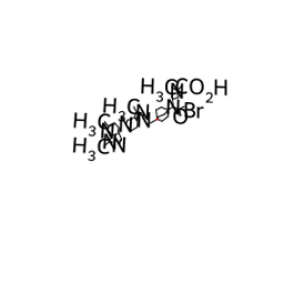 Cc1cc(N2CCc3c(c(C)nn3CC34CCC(N(CCN(C)C(=O)O)C(=O)CBr)(CC3)CC4)C2)c2cnn(C)c2n1